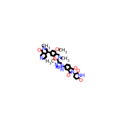 COc1cc(-c2cn(C)c(=O)c3cnccc23)cc(OC)c1CN(C)C/C(=C/Nc1ccc2c(c1)C(=O)N(C1CCC(=O)NC1=O)C2=O)N=N